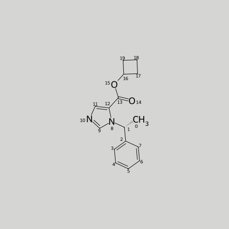 C[C@H](c1ccccc1)n1cncc1C(=O)OC1CCC1